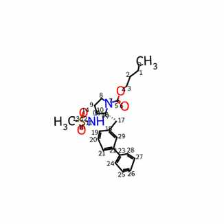 CCCCOC(=O)N1CC[C@@H](NS(C)(=O)=O)[C@H]1Cc1cccc(-c2ccccc2)c1